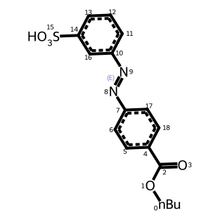 CCCCOC(=O)c1ccc(/N=N/c2cccc(S(=O)(=O)O)c2)cc1